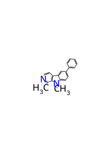 Cc1nccc2c3cc(-c4ccccc4)ccc3n(C)c12